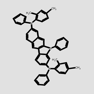 Cc1ccc(N(c2ccccc2)c2ccc3cc4c5ccc(N(c6ccccc6)c6ccc(C)cc6C)cc5n(-c5ccccc5)c4cc3c2)c(C)c1